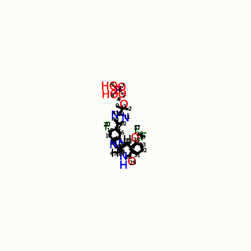 CC(C)(OCOP(=O)(O)O)c1ncc(-c2cc3c(cc2F)nc2n3[C@@H]3C[C@H]2NC(=O)c2cccc(OC(F)F)c23)cn1